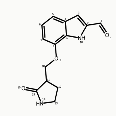 O=Cc1cc2cccc(OCC3CCNC3=O)c2[nH]1